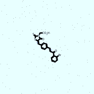 O=C(O)CN1C(=O)/C(=C\c2ccc(/C=C/C(=O)c3ccccc3Br)cc2)SC1=S